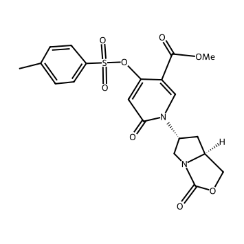 COC(=O)c1cn([C@@H]2C[C@H]3COC(=O)N3C2)c(=O)cc1OS(=O)(=O)c1ccc(C)cc1